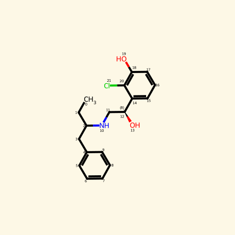 CCC(Cc1ccccc1)NC[C@H](O)c1cccc(O)c1Cl